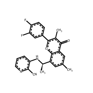 Cc1cc([C@@H](C)Nc2cccnc2C#N)c2oc(-c3ccc(F)c(F)c3)c(C)c(=O)c2c1